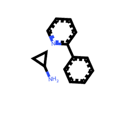 NC1CC1.c1ccc(-c2ccccn2)cc1